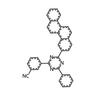 N#Cc1cccc(-c2nc(-c3ccccc3)nc(-c3ccc4ccc5c6ccccc6ccc5c4c3)n2)c1